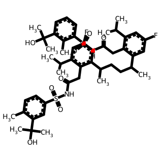 Cc1ccc(S(=O)(=O)NC(=O)Cc2c(C(C)C)cc(F)cc2C(C)CCC(C)c2cc(F)cc(C(C)C)c2CC(=O)NS(=O)(=O)c2cccc(C(C)(C)O)c2C)cc1C(C)(C)O